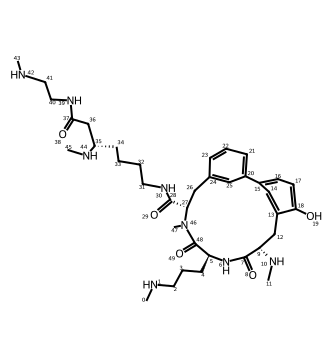 CNCCC[C@@H]1NC(=O)[C@@H](NC)Cc2cc(ccc2O)-c2cccc(c2)C[C@@H](C(=O)NCCCC[C@@H](CC(=O)NCCNC)NC)N(C)C1=O